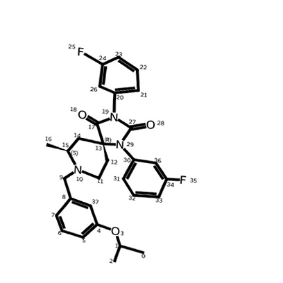 CC(C)Oc1cccc(CN2CC[C@@]3(C[C@@H]2C)C(=O)N(c2cccc(F)c2)C(=O)N3c2cccc(F)c2)c1